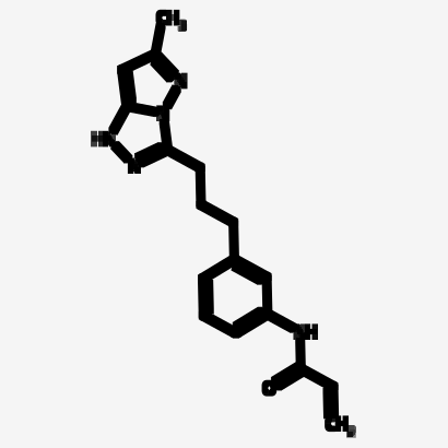 C=CC(=O)Nc1cccc(CCCc2n[nH]c3cc(C)nn23)c1